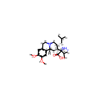 COc1cc2c(cc1OC)[C@H]1C[C@H]([C@@](N)(C(=O)O)C(C)C)[C@@H](CC(C)C)CN1CC2